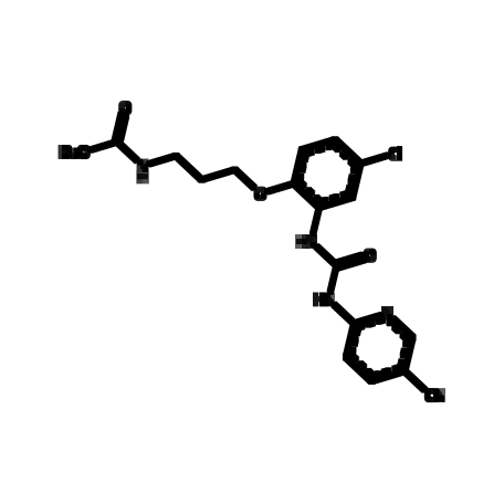 CC(C)COC(=O)NCCCOc1ccc(Cl)cc1NC(=O)Nc1ccc(C#N)cn1